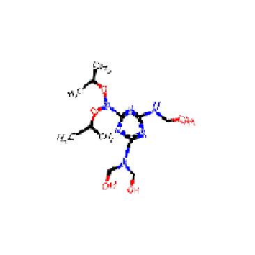 CC(C)ON(OC(C)C)c1nc(NCO)nc(N(CO)CO)n1